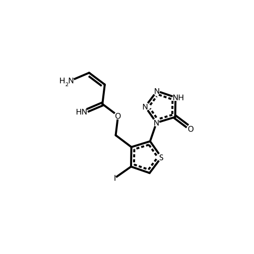 N=C(/C=C\N)OCc1c(I)csc1-n1nn[nH]c1=O